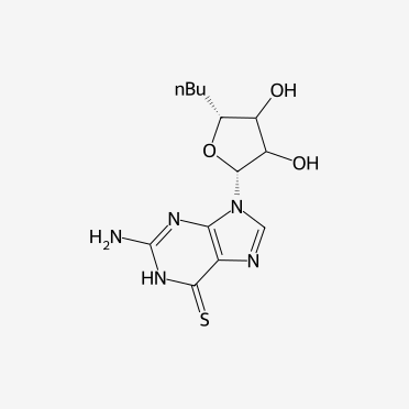 CCCC[C@H]1O[C@@H](n2cnc3c(=S)[nH]c(N)nc32)C(O)C1O